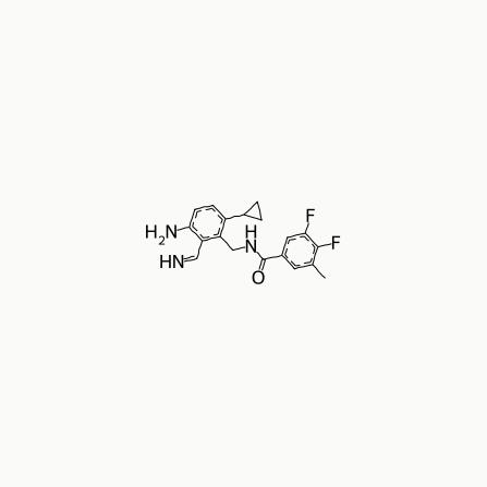 Cc1cc(C(=O)NCc2c(C3CC3)ccc(N)c2C=N)cc(F)c1F